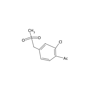 CC(=O)c1ccc(CS(C)(=O)=O)cc1Cl